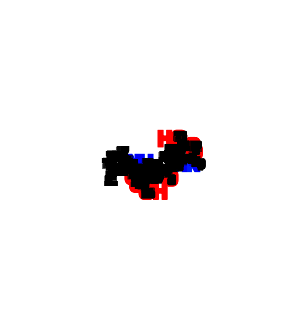 CNC(=O)c1cc(C(=O)c2ccc(C(=O)Nc3cccc(C)c3)c(C(=O)O)c2)ccc1C(=O)O